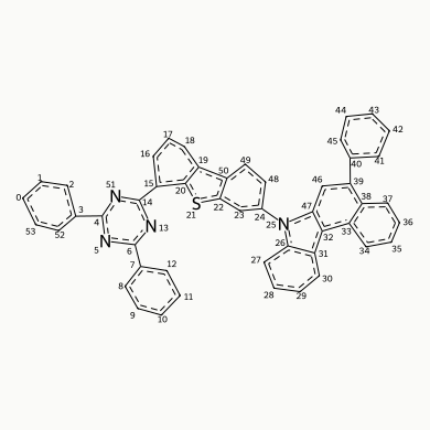 c1ccc(-c2nc(-c3ccccc3)nc(-c3cccc4c3sc3cc(-n5c6ccccc6c6c7ccccc7c(-c7ccccc7)cc65)ccc34)n2)cc1